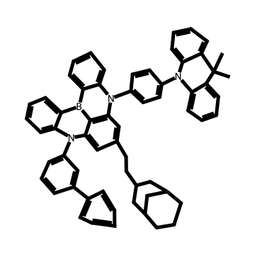 CC1(C)c2ccccc2N(c2ccc(N3c4ccccc4B4c5ccccc5N(c5cccc(-c6ccccc6)c5)c5cc(CCC6CC7CCCC(C7)C6)cc3c54)cc2)c2ccccc21